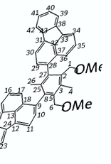 COCc1c(C)c(COC)c(-c2ccc3c4c(cccc24)-c2ccccc2-3)c(C)c1-c1ccc2c3c(cccc13)-c1ccccc1-2